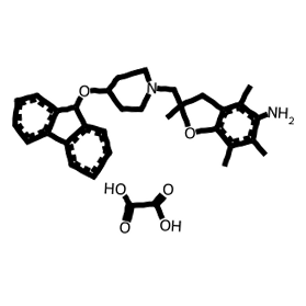 Cc1c(C)c2c(c(C)c1N)CC(C)(CN1CCC(OC3c4ccccc4-c4ccccc43)CC1)O2.O=C(O)C(=O)O